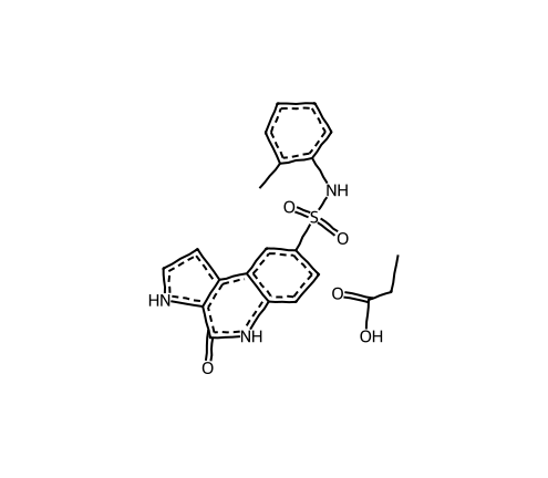 CCC(=O)O.Cc1ccccc1NS(=O)(=O)c1ccc2[nH]c(=O)c3[nH]ccc3c2c1